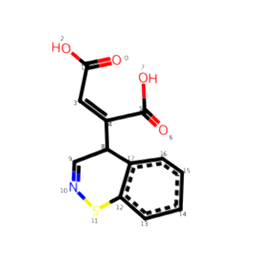 O=C(O)/C=C(\C(=O)O)C1C=NSc2ccccc21